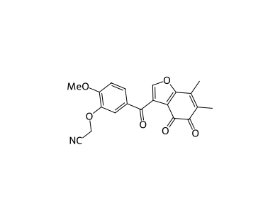 COc1ccc(C(=O)c2coc3c2C(=O)C(=O)C(C)=C3C)cc1OCC#N